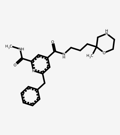 CNC(=O)c1cc(C(=O)NCCCC2(C)CNCCO2)cc(Cc2ccccc2)n1